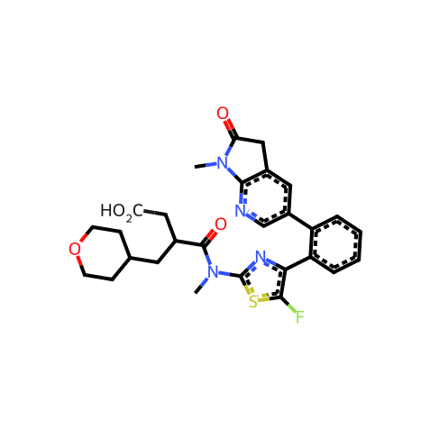 CN(C(=O)C(CC(=O)O)CC1CCOCC1)c1nc(-c2ccccc2-c2cnc3c(c2)CC(=O)N3C)c(F)s1